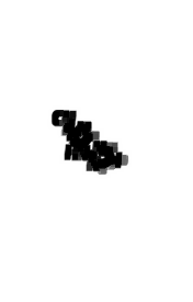 N#CCn1cc(Nc2ncc(I)cn2)cn1